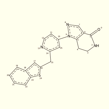 O=C1NCCc2c1cnn2-c1ccnc(Cc2cc3ccccc3s2)c1